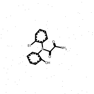 CCc1ccccc1N(C(=O)C(N)=O)c1ccccc1O